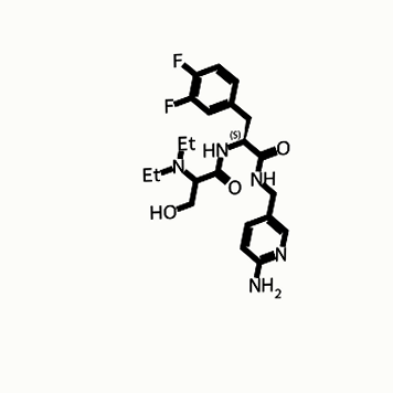 CCN(CC)C(CO)C(=O)N[C@@H](Cc1ccc(F)c(F)c1)C(=O)NCc1ccc(N)nc1